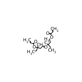 C=CC(=O)OCCC(C)(CC)OCC[C@](C)(CC)OC(=O)C=C